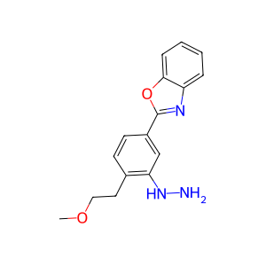 COCCc1ccc(-c2nc3ccccc3o2)cc1NN